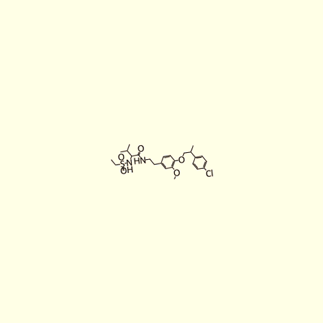 CCS(=O)(=O)NC(C(=O)NCCc1ccc(OCC(C)c2ccc(Cl)cc2)c(OC)c1)C(C)C